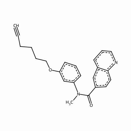 C#CCCCCOc1cccc(N(C)C(=O)c2ccc3ncccc3c2)c1